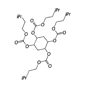 CC(C)CCOC(=O)OC1CC(OC(=O)OCCC(C)C)C(OC(=O)OCCC(C)C)CC1OC(=O)OCCC(C)C